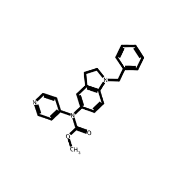 COC(=O)N(c1ccncc1)c1ccc2c(c1)CCN2Cc1ccccc1